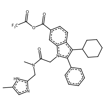 Cc1cnc(CN(C)C(=O)Cn2c(-c3ccccc3)c(C3CCCCC3)c3ccc(C(=O)OC(=O)C(F)(F)F)cc32)[nH]1